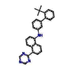 CC(C)(C)c1ccccc1-c1cccc(Nc2cccc3c(-c4ncncn4)cccc23)c1